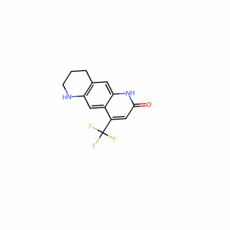 O=c1cc(C(F)(F)F)c2cc3c(cc2[nH]1)CCCN3